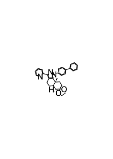 C[C@@H]1[C@H]2CCc3c(-c4ccccn4)nn(-c4ccc(-c5ccccc5)cc4)c3[C@]2(C)CCC12OCCO2